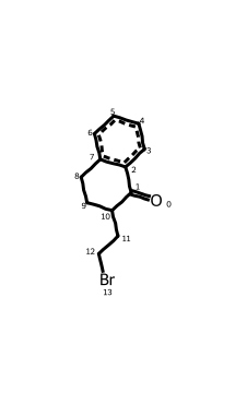 O=C1c2ccccc2CCC1CCBr